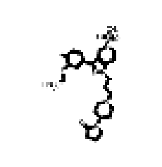 CS(=O)(=O)N1CCc2c(c(-c3ccc(C(F)(F)F)c(SCC(=O)O)c3)nn2CCCN2CCC(N3CCCC3=O)CC2)C1